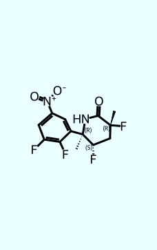 C[C@@]1(F)C[C@H](F)[C@@](C)(c2cc([N+](=O)[O-])cc(F)c2F)NC1=O